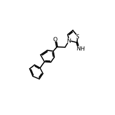 N=c1sccn1CC(=O)c1ccc(-c2ccccc2)cc1